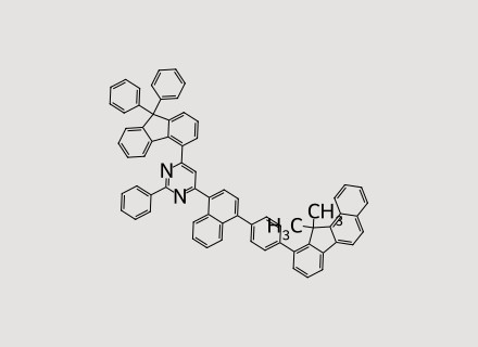 CC1(C)c2c(-c3ccc(-c4ccc(-c5cc(-c6cccc7c6-c6ccccc6C7(c6ccccc6)c6ccccc6)nc(-c6ccccc6)n5)c5ccccc45)cc3)cccc2-c2ccc3ccccc3c21